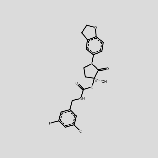 O=C(NCc1cc(F)cc(Cl)c1)O[C@@]1(O)CCN(c2ccc3c(c2)CCO3)C1=O